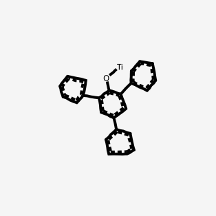 [Ti][O]c1c(-c2ccccc2)cc(-c2ccccc2)cc1-c1ccccc1